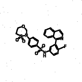 O=S(=O)(Nc1ccc(F)c(-c2nccc3ccccc23)c1)c1ccc(N2COCCS2(=O)=O)cc1